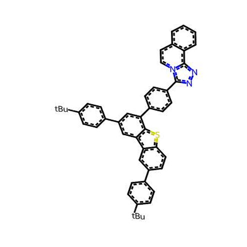 CC(C)(C)c1ccc(-c2ccc3sc4c(-c5ccc(-c6nnc7c8ccccc8ccn67)cc5)cc(-c5ccc(C(C)(C)C)cc5)cc4c3c2)cc1